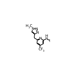 Cn1cc(Cc2cc(C(F)(F)F)cc(NI)n2)nn1